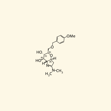 COc1ccc(COC[C@H]2O[C@@H]3CC(N(C)C)=N[C@@H]3[C@@H](O)[C@@H]2O)cc1